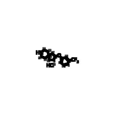 Cl.FC(F)(F)c1cncc(OC2CCC3(CCNCC3)C2)c1